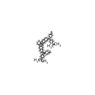 CC(C)c1ccc(N(c2ccc(F)cc2)c2ccc3cc4c5c6c(c7cc8ccc(N(c9ccc(F)cc9)c9ccc(C(C)C)cc9)cc8cc7n6c4cc3c2)=CCC5)cc1